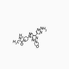 C[C@@H](N)C(=O)N1CCC(n2ncc3c(-c4cnc(N)nc4)nc(N4CCOCC4)nc32)CC1